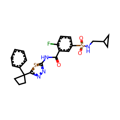 O=C(Nc1nnc(C2(c3ccccc3)CCC2)s1)c1cc(S(=O)(=O)NCC2CC2)ccc1F